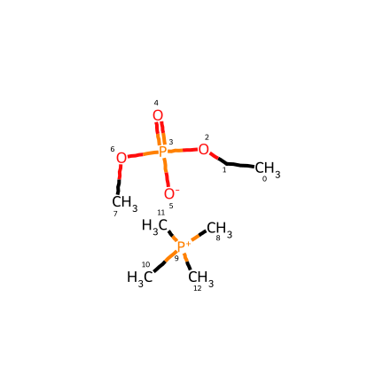 CCOP(=O)([O-])OC.C[P+](C)(C)C